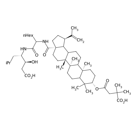 C=C(C)[C@@H]1CC[C@]2(C(=O)NC(CCCCCC)C(=O)N[C@@H](CC(C)C)[C@@H](O)CC(=O)O)CC[C@]3(C)C(CCC4[C@@]5(C)CC[C@H](OC(=O)CC(C)(C)C(=O)O)C(C)(C)C5CC[C@]43C)C12